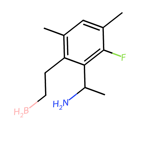 BCCc1c(C)cc(C)c(F)c1C(C)N